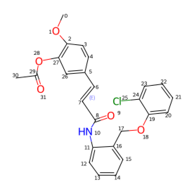 COc1ccc(/C=C/C(=O)Nc2ccccc2COc2ccccc2Cl)cc1OC(C)=O